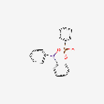 O=S(=O)(O[I+](c1ccccc1)c1ccccc1)c1ccccc1